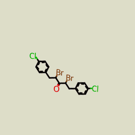 O=C(C(Br)Cc1ccc(Cl)cc1)C(Br)Cc1ccc(Cl)cc1